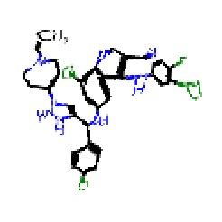 CCN1CCC(N2C=C([C@@H](Nc3cc(Cl)c4ncc(C#N)c(Nc5ccc(F)c(Cl)c5)c4c3)c3ccc(Cl)cc3)NN2)CC1